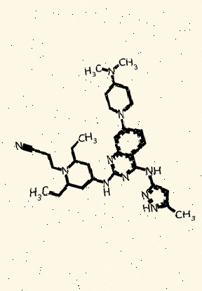 CCC1CC(Nc2nc(Nc3cc(C)[nH]n3)c3ccc(N4CCC(N(C)C)CC4)cc3n2)CC(CC)N1CCC#N